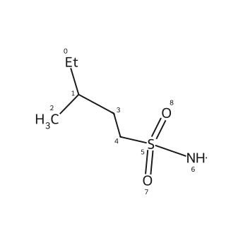 CCC(C)CCS([NH])(=O)=O